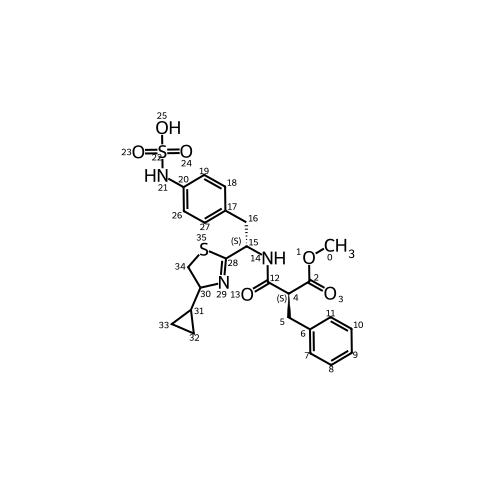 COC(=O)[C@@H](Cc1ccccc1)C(=O)N[C@@H](Cc1ccc(NS(=O)(=O)O)cc1)C1=NC(C2CC2)CS1